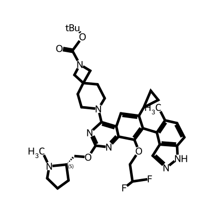 Cc1ccc2[nH]ncc2c1-c1c(C2CC2)cc2c(N3CCC4(CC3)CN(C(=O)OC(C)(C)C)C4)nc(OC[C@@H]3CCCN3C)nc2c1OCC(F)F